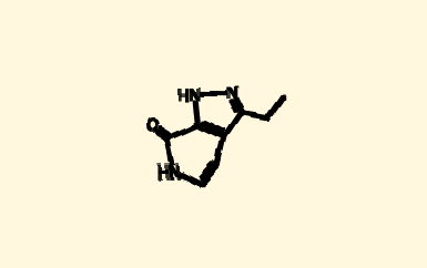 CCc1n[nH]c2c(=O)[nH]ccc12